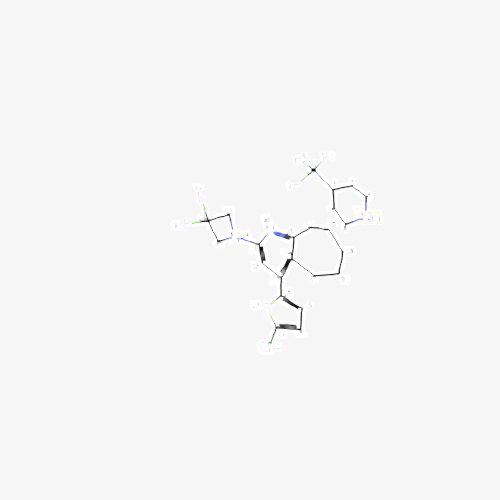 FC(F)(F)C1CCNCC1.FC1(F)CN(c2cc(-c3ccc(Cl)s3)c3c(n2)CCCCC3)C1